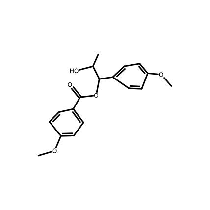 COc1ccc(C(=O)OC(c2ccc(OC)cc2)C(C)O)cc1